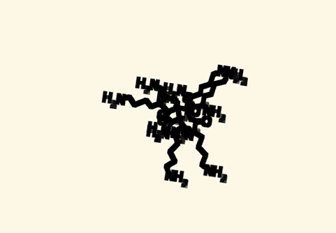 NCCCC[C@H](N)C(=O)N(C(=O)[C@@H](N)CCCCN)[C@@](C(N)=O)(C(=O)[C@@H](N)CCCCN)C(CCCN)(C(=O)[C@@H](N)CCCCN)C(=O)[C@@H](N)CCCCN